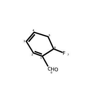 O=CC1=CC=CCC1F